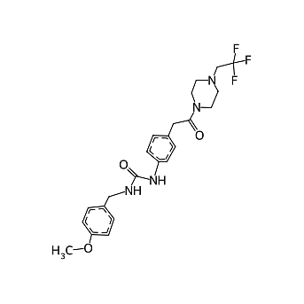 COc1ccc(CNC(=O)Nc2ccc(CC(=O)N3CCN(CC(F)(F)F)CC3)cc2)cc1